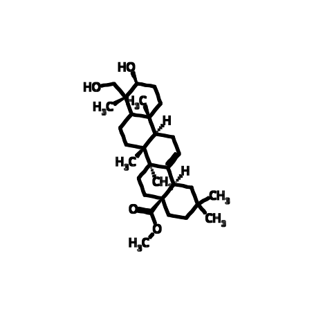 COC(=O)[C@]12CCC(C)(C)C[C@@H]1C1=CC[C@@H]3[C@@]4(C)CC[C@H](O)[C@@](C)(CO)C4CC[C@@]3(C)[C@]1(C)CC2